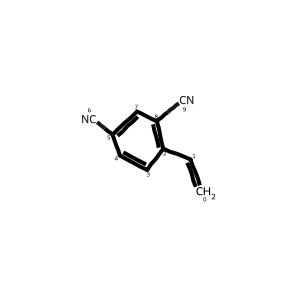 C=Cc1ccc(C#N)cc1C#N